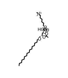 CCCCCCCCCCCCCCCCOC[C@H](COP(=O)(O)OCCCCCC[N+](C)(C)C)OC(C)=O